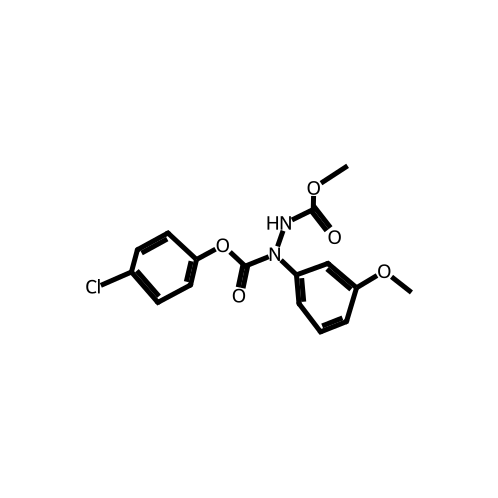 COC(=O)NN(C(=O)Oc1ccc(Cl)cc1)c1cccc(OC)c1